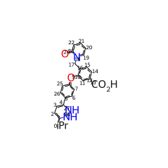 CC(C)C1=CC=C(c2ccc(Oc3cc(C(=O)O)ccc3Cn3ccccc3=O)cc2)NN1